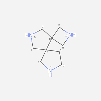 C1CC2(CN1)CNCC21CNC1